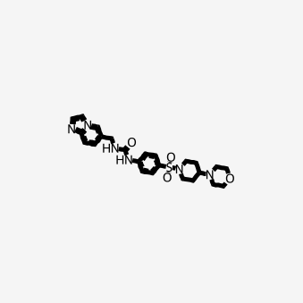 O=C(NCc1ccc2nccn2c1)Nc1ccc(S(=O)(=O)N2CCC(N3CCOCC3)CC2)cc1